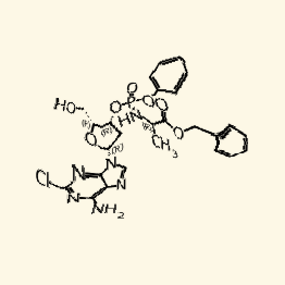 C[C@@H](NP(=O)(Oc1ccccc1)O[C@@H]1C[C@H](n2cnc3c(N)nc(Cl)nc32)O[C@@H]1CO)C(=O)OCc1ccccc1